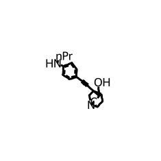 CCCNc1ccc(C#CC2(O)CN3CCC2CC3)cc1